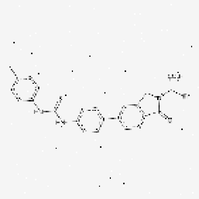 Cc1ccc(NC(=S)Nc2ccc(-c3ccc4c(c3)CN(C(C(=O)O)C(C)C)C4=O)cc2)cc1